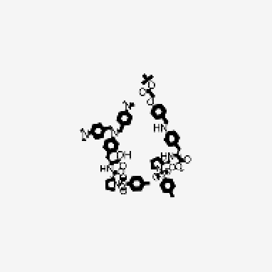 COC(=O)[C@H](Cc1ccc(NCc2ccc(OCC(=O)OC(C)(C)C)cc2)cc1)NC(=O)[C@@H]1CCCN1S(=O)(=O)c1ccc(C)cc1.Cc1ccc(S(=O)(=O)N2CCC[C@H]2C(=O)N[C@@H](Cc2ccc(N(Cc3ccc(N(C)C)cc3)Cc3ccc(N(C)C)cc3)cc2)C(=O)O)cc1